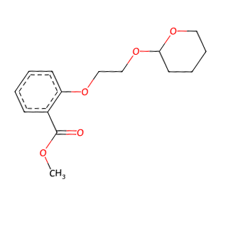 COC(=O)c1ccccc1OCCOC1CCCCO1